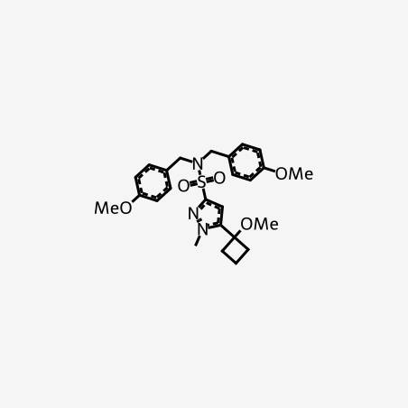 COc1ccc(CN(Cc2ccc(OC)cc2)S(=O)(=O)c2cc(C3(OC)CCC3)n(C)n2)cc1